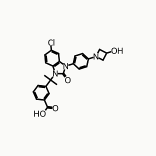 CC(C)(c1cccc(C(=O)O)c1)n1c(=O)n(-c2ccc(N3CC(O)C3)cc2)c2cc(Cl)ccc21